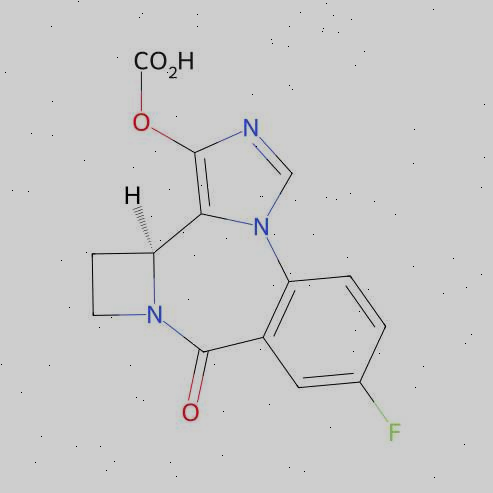 O=C(O)Oc1ncn2c1[C@@H]1CCN1C(=O)c1cc(F)ccc1-2